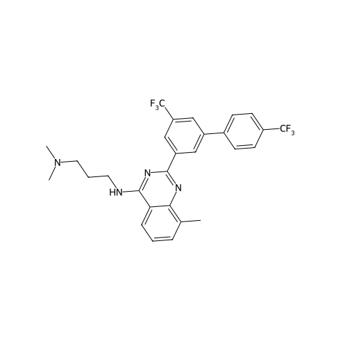 Cc1cccc2c(NCCCN(C)C)nc(-c3cc(-c4ccc(C(F)(F)F)cc4)cc(C(F)(F)F)c3)nc12